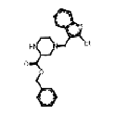 CCc1sc2ccccc2c1CN1CCNC(C(=O)OCc2ccccc2)C1